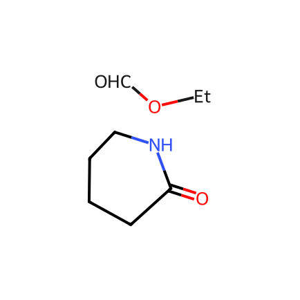 CCOC=O.O=C1CCCCN1